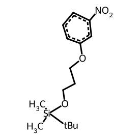 CC(C)(C)[Si](C)(C)OCCCOc1cccc([N+](=O)[O-])c1